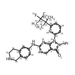 CC(C)n1c(=O)c2cnc(Nc3ccc4c(c3)CCNC4)nc2n1-c1cccc(C(C)(C)C(C)(C)F)n1